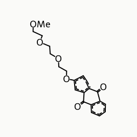 COCCOCCOCCOc1ccc2c(c1)C(=O)c1ccccc1C2=O